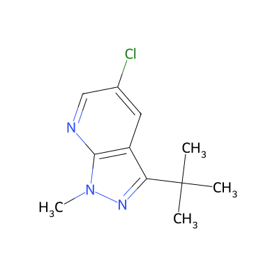 Cn1nc(C(C)(C)C)c2cc(Cl)cnc21